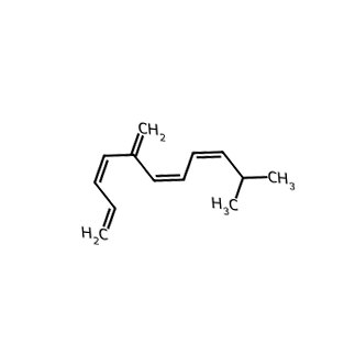 C=C/C=C\C(=C)/C=C\C=C/C(C)C